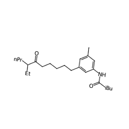 CCCC(CC)C(=O)CCCCCc1cc(C)cc(NC(=O)C(C)CC)c1